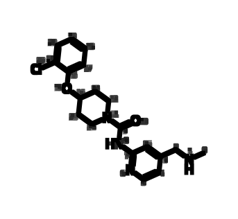 CNCc1ccnc(NC(=O)N2CCC(Oc3ccccc3Cl)CC2)c1